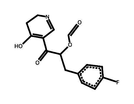 O=COC(Cc1ccc(F)cc1)C(=O)C1=C(O)CCN=C1